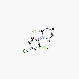 Fc1cc(Cl)cc(F)c1N1CC=[C]CC1